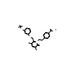 COC(=O)c1ccc(CCn2c(COc3cccc(OC(F)(F)F)c3)c(Cl)cc(C)c2=O)cc1